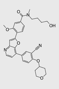 COc1cc(C(=O)N(C)CCCCO)ccc1-c1cc2nccc(-c3ccc(OC4CCOCC4)c(C#N)c3)c2o1